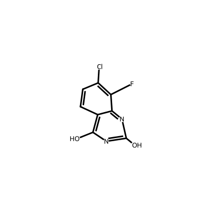 Oc1nc(O)c2ccc(Cl)c(F)c2n1